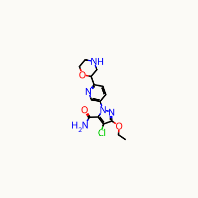 CCOc1nn(-c2ccc(C3CNCCO3)nc2)c(C(N)=O)c1Cl